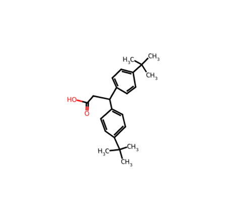 CC(C)(C)c1ccc(C(CC(=O)O)c2ccc(C(C)(C)C)cc2)cc1